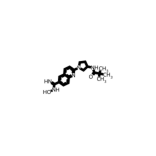 CC(C)(C)C(=O)NC1CCN(c2ccc3cc(C(=N)NO)ccc3n2)C1